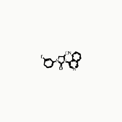 N#CC1CN(C2C=C(F)CCC2)C(=O)N1c1cncc2ccccc12